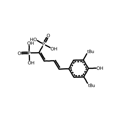 CC(C)(C)c1cc(C=CC=C(P(=O)(O)O)P(=O)(O)O)cc(C(C)(C)C)c1O